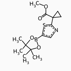 COC(=O)C1(c2ncc(B3OC(C)(C)C(C)(C)O3)s2)CC1